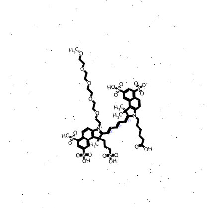 COCCOCCOCCOCCOCC[N+]1=C(/C=C/C=C/C=C2/N(CCCCCC(=O)O)c3ccc4c(S(=O)(=O)[O-])cc(S(=O)(=O)O)cc4c3C2(C)C)C(C)(CCCS(=O)(=O)O)c2c1ccc1c(S(=O)(=O)O)cc(S(=O)(=O)O)cc21